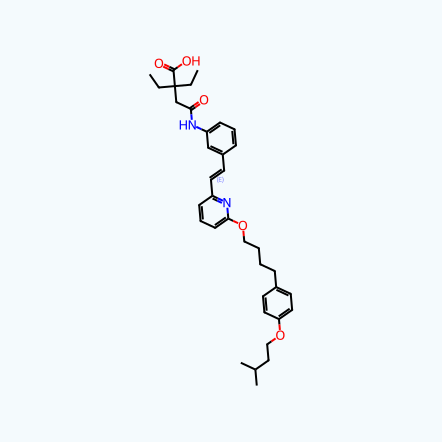 CCC(CC)(CC(=O)Nc1cccc(/C=C/c2cccc(OCCCCc3ccc(OCCC(C)C)cc3)n2)c1)C(=O)O